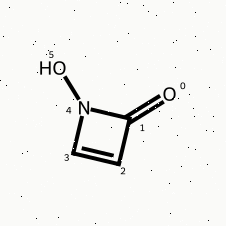 O=C1C=CN1O